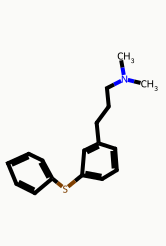 CN(C)CCCc1cccc(Sc2ccccc2)c1